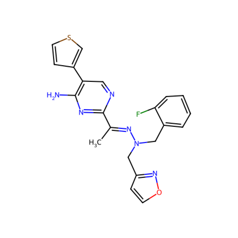 C/C(=N\N(Cc1ccon1)Cc1ccccc1F)c1ncc(-c2ccsc2)c(N)n1